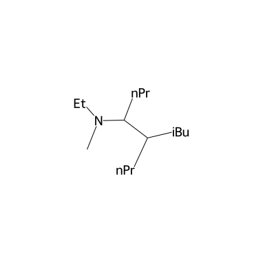 CCCC(C(C)CC)C(CCC)N(C)CC